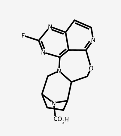 O=C(O)N1C2CCC1C1COc3nccc4nc(F)nc(c34)N1C2